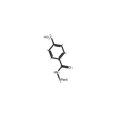 CCCCCNC(=O)c1ccc(C(=O)O)cc1